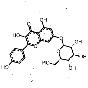 O=c1c(O)c(-c2ccc(O)cc2)oc2cc(O[C@@H]3O[C@H](CO)[C@@H](O)[C@H](O)[C@H]3O)cc(O)c12